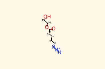 [N-]=[N+]=NCCCCC(=O)OCCO